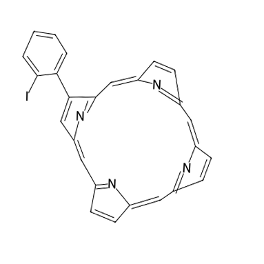 Ic1ccccc1C1=CC2=CC3=NC(=CC4=NC(=CC5=NC(=CC1=N2)C=C5)C=C4)C=C3